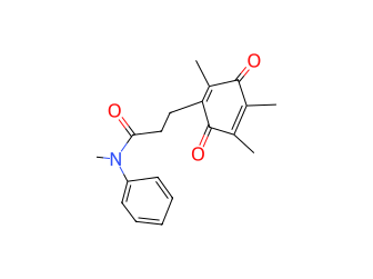 CC1=C(C)C(=O)C(CCC(=O)N(C)c2ccccc2)=C(C)C1=O